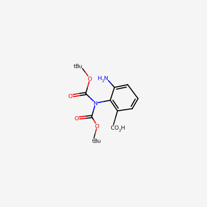 CC(C)(C)OC(=O)N(C(=O)OC(C)(C)C)c1c(N)cccc1C(=O)O